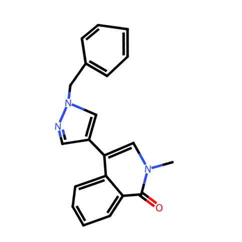 Cn1cc(-c2cnn(Cc3ccccc3)c2)c2ccccc2c1=O